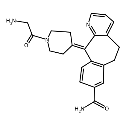 NCC(=O)N1CCC(=C2c3ccc(C(N)=O)cc3CCc3cccnc32)CC1